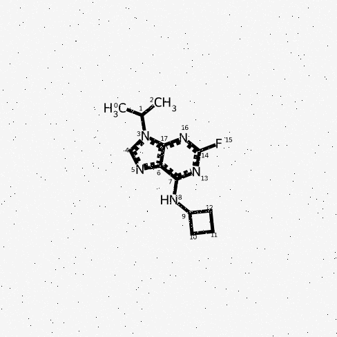 CC(C)n1cnc2c(NC3CCC3)nc(F)nc21